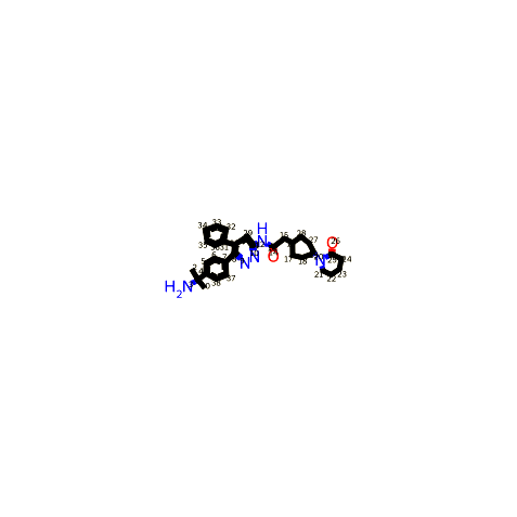 CC(C)(N)c1ccc(-c2nnc(NC(=O)CC3CCC(N4CCCCC4=O)CC3)cc2-c2ccccc2)cc1